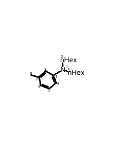 CCCCCCN(CCCCCC)c1cccc(C)c1